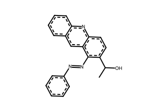 CC(O)c1ccc2nc3ccccc3cc2c1N=Nc1ccccc1